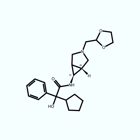 O=C(N[C@H]1C2CN(CC3OCCO3)C[C@@H]21)C(O)(c1ccccc1)C1CCCC1